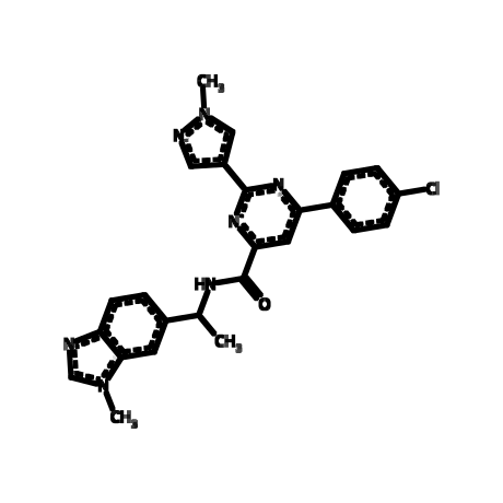 CC(NC(=O)c1cc(-c2ccc(Cl)cc2)nc(-c2cnn(C)c2)n1)c1ccc2ncn(C)c2c1